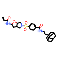 C=CC(=O)NC1CC2CN(S(=O)(=O)c3ccc(C(=O)NCCC45CC6CC(CC(C6)C4)C5)cc3)CC2O1